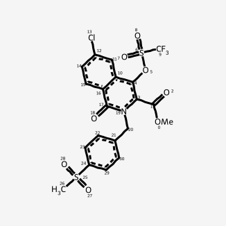 COC(=O)c1c(OS(=O)(=O)C(F)(F)F)c2cc(Cl)ccc2c(=O)n1Cc1ccc(S(C)(=O)=O)cc1